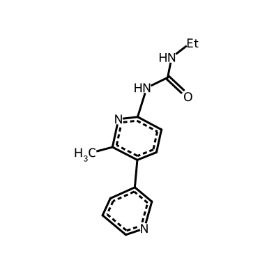 CCNC(=O)Nc1ccc(-c2cccnc2)c(C)n1